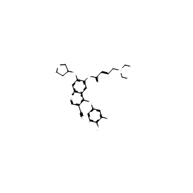 CCN(CC)C/C=C/C(=O)Nc1cc2c(Nc3ccc(F)c(Cl)c3)c(C#N)cnc2cc1OC1CCOC1